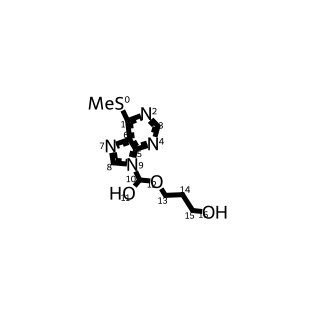 CSc1ncnc2c1ncn2C(O)OCCCO